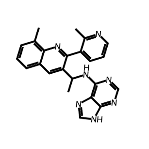 Cc1ncccc1-c1nc2c(C)cccc2cc1C(C)Nc1ncnc2[nH]cnc12